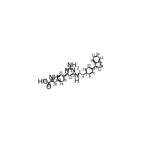 Nc1nc(NCCc2ccc(-c3csc4ccccc34)cc2)cc(-c2ccc(C[C@H](N)C(=O)O)cc2)n1